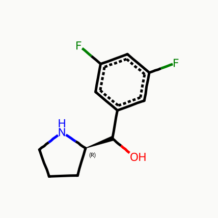 OC(c1cc(F)cc(F)c1)[C@H]1CCCN1